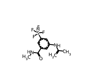 C=C(C)Nc1cc(C(=O)NC)cc([SH](F)(F)(F)F)c1